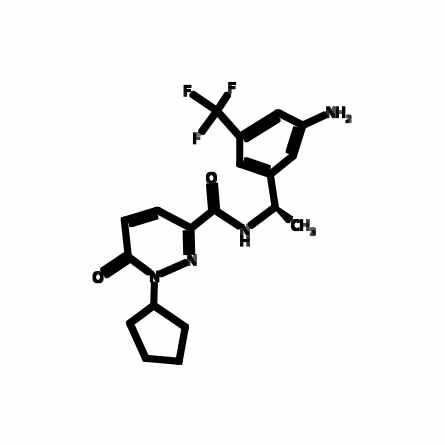 C[C@@H](NC(=O)c1ccc(=O)n(C2CCCC2)n1)c1cc(N)cc(C(F)(F)F)c1